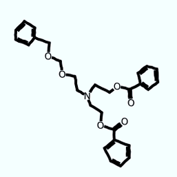 O=C(OCCN(CCOCOCc1ccccc1)CCOC(=O)c1ccccc1)c1ccccc1